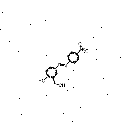 O=[N+]([O-])c1ccc(N=Nc2ccc(O)c(CO)c2)cc1